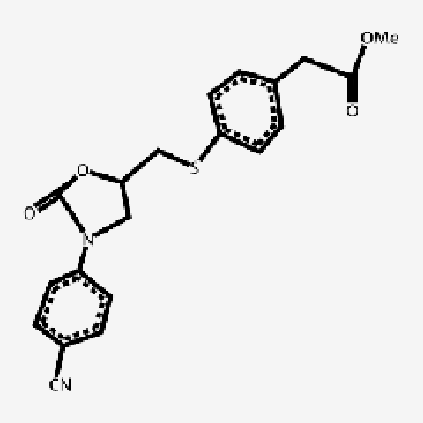 COC(=O)Cc1ccc(SCC2CN(c3ccc(C#N)cc3)C(=O)O2)cc1